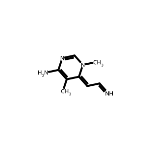 CC1=C(N)N=CN(C)C1=CC=N